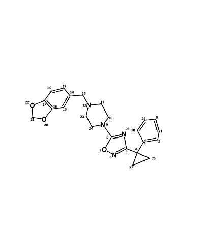 c1ccc(C2(c3noc(N4CCN(Cc5ccc6c(c5)OCO6)CC4)n3)CC2)cc1